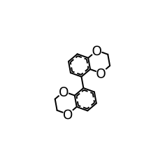 c1cc2c(c(-c3cccc4c3OCCO4)c1)OCCO2